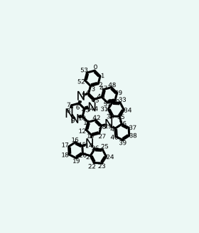 c1ccc(-c2nc3cnnc(-c4cc(-n5c6ccccc6c6ccccc65)cc(-n5c6ccccc6c6ccccc65)c4)c3nc2-c2ccccc2)cc1